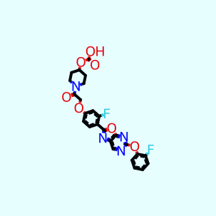 O=C(O)OC1CCN(C(=O)COc2ccc(-c3nc4cnc(Oc5ccccc5F)nc4o3)c(F)c2)CC1